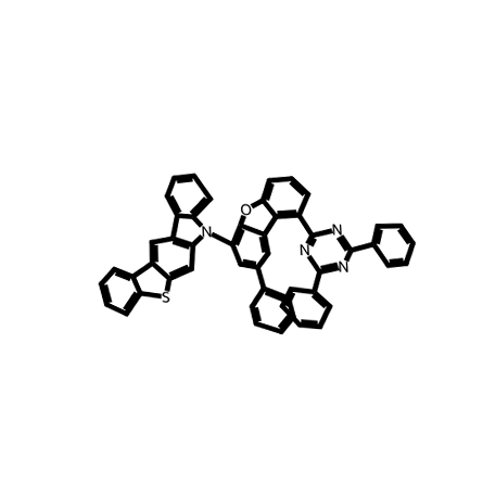 c1ccc(-c2cc(-n3c4ccccc4c4cc5c(cc43)sc3ccccc35)c3oc4cccc(-c5nc(-c6ccccc6)nc(-c6ccccc6)n5)c4c3c2)cc1